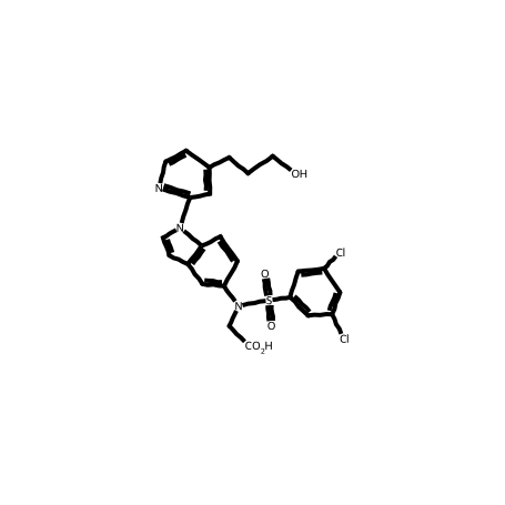 O=C(O)CN(c1ccc2c(ccn2-c2cc(CCCO)ccn2)c1)S(=O)(=O)c1cc(Cl)cc(Cl)c1